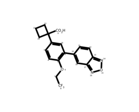 O=C(O)C1(c2ccc(OCC(F)(F)F)c(-c3ccc4nonc4c3)c2)CCC1